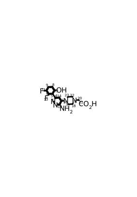 Nc1nnc(-c2c(O)ccc(F)c2F)cc1N1CCN(CC(=O)O)CC1